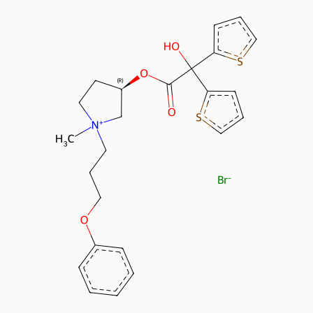 C[N+]1(CCCOc2ccccc2)CC[C@@H](OC(=O)C(O)(c2cccs2)c2cccs2)C1.[Br-]